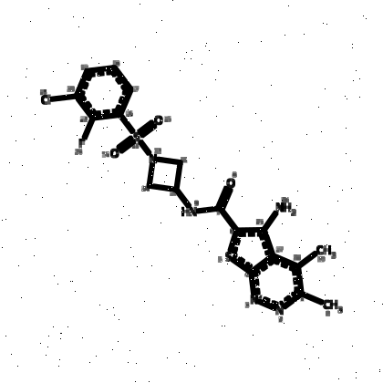 Cc1nnc2sc(C(=O)NC3CN(S(=O)(=O)c4cccc(Cl)c4F)C3)c(N)c2c1C